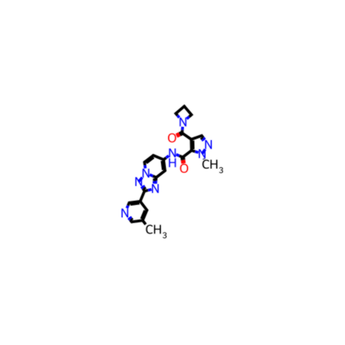 Cc1cncc(-c2nc3cc(NC(=O)c4c(C(=O)N5CCC5)cnn4C)ccn3n2)c1